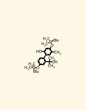 Cc1cc(-c2ccc(O[Si](C)(C)C(C)(C)C)cc2C(C)(C)O)c(O)cc1O[Si](C)(C)C(C)(C)C